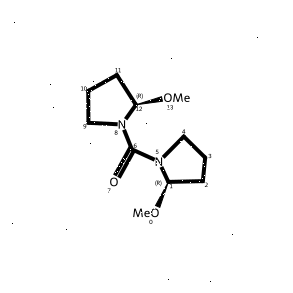 CO[C@@H]1CCCN1C(=O)N1CCC[C@H]1OC